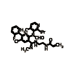 C=CC(=O)NCCN/C(=N/C)c1cc(Cl)c(-c2ccccc2F)nc1N(C=O)c1c(C)ccnc1C(C)C